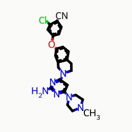 CN1CCN(c2cc(N3CCc4ccc(Oc5ccc(C#N)c(Cl)c5)cc4C3)nc(N)n2)CC1